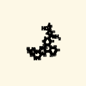 C=CC1(O)CC(N)(c2ccc(-c3nc4c(cnc5cc(C)nn54)cc3-c3ccccc3)cc2)C1